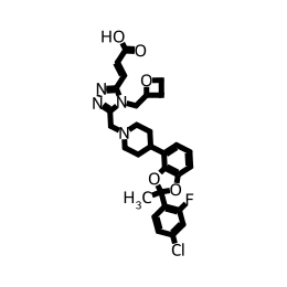 CC1(c2ccc(Cl)cc2F)Oc2cccc(C3CCN(Cc4nnc(/C=C/C(=O)O)n4CC4CCO4)CC3)c2O1